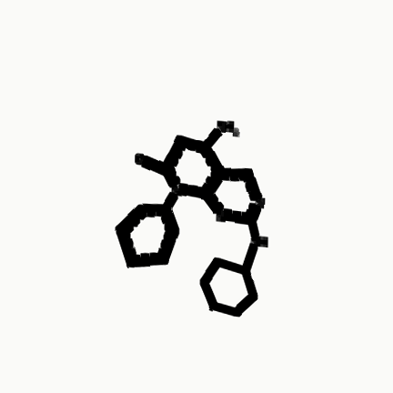 Nc1cc(=O)n(-c2ccccc2)c2nc(NC3CCCCC3)ncc12